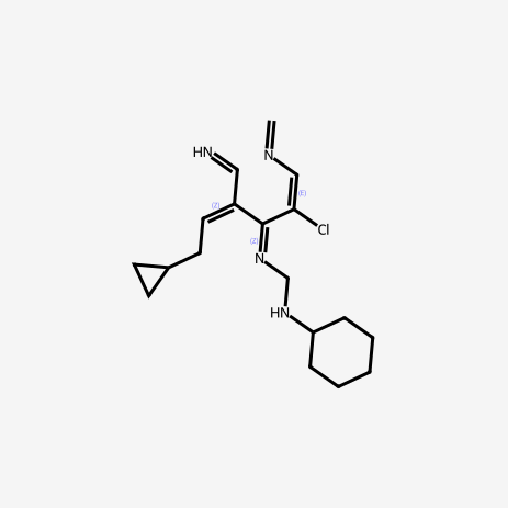 C=N\C=C(Cl)/C(=N\CNC1CCCCC1)C(/C=N)=C\CC1CC1